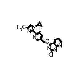 Fc1cc(COc2nc(Cl)nc3ncccc23)cnc1-c1nc(C(F)(F)F)cn1C1CC1